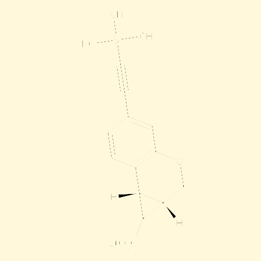 CCOC(=O)C1[C@H]2COc3cc(C#C[Si](C)(C)C)ccc3[C@@H]12